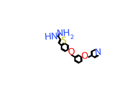 N=C(N)c1cc2ccc(OCc3cccc(OCc4ccncc4)c3)cc2s1